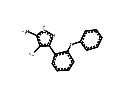 N#Cc1c(-c2ccccc2Oc2ccccc2)n[nH]c1N